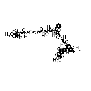 CCC(C)(C)C1CC(=O)N(CCC(=O)NCCOCCOCCC(=O)NCC(=O)NCC(=O)N[C@@H](Cc2ccccc2)C(=O)NCC(=O)NCCCC(=O)N[C@H]2CCc3c(C)c(F)cc4nc5c(c2c34)Cn2c-5cc3c(c2=O)COC(=O)[C@@]32OC2C)C1=O